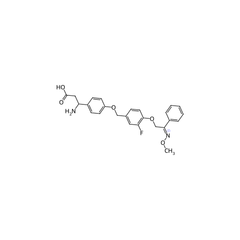 CO/N=C(\COc1ccc(COc2ccc(C(N)CC(=O)O)cc2)cc1F)c1ccccc1